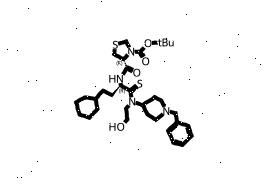 CC(C)(C)OC(=O)N1CSC[C@H]1C(=O)N[C@H](CCC1CCCCC1)C(=S)N(CCO)C1CCN(Cc2ccccc2)CC1